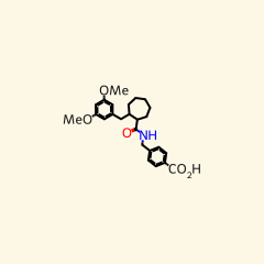 COc1cc(CC2CCCCCC2C(=O)NCc2ccc(C(=O)O)cc2)cc(OC)c1